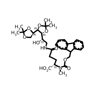 CN(C(=O)OCC1c2ccccc2-c2ccccc21)[C@@H](CCC(=O)NC[C@H](O)[C@H]1OC(C)(C)O[C@@H]1[C@H]1COC(C)(C)O1)C(=O)O